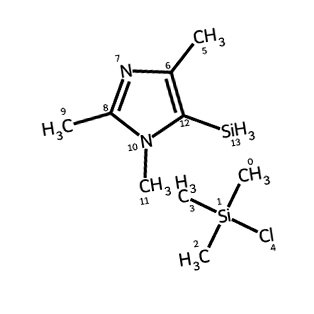 C[Si](C)(C)Cl.Cc1nc(C)n(C)c1[SiH3]